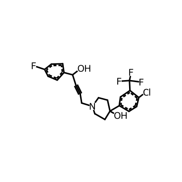 OC(C#CCN1CCC(O)(c2ccc(Cl)c(C(F)(F)F)c2)CC1)c1ccc(F)cc1